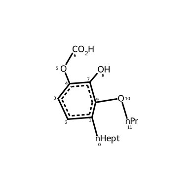 CCCCCCCc1ccc(OC(=O)O)c(O)c1OCCC